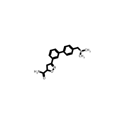 CN(C)Cc1ccc(-c2cccc(C3=NOC(C(N)=O)C3)c2)cc1